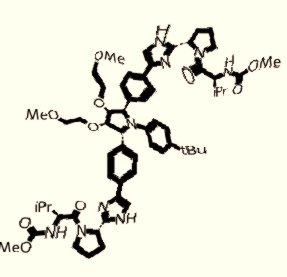 COCCO[C@@H]1[C@@H](OCCOC)[C@@H](c2ccc(-c3c[nH]c([C@@H]4CCCN4C(=O)[C@@H](NC(=O)OC)C(C)C)n3)cc2)N(c2ccc(C(C)(C)C)cc2)[C@@H]1c1ccc(-c2c[nH]c([C@@H]3CCCN3C(=O)[C@@H](NC(=O)OC)C(C)C)n2)cc1